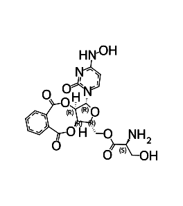 N[C@@H](CO)C(=O)OC[C@H]1O[C@@H](n2ccc(NO)nc2=O)[C@@H]2OC(=O)c3ccccc3C(=O)O[C@@H]21